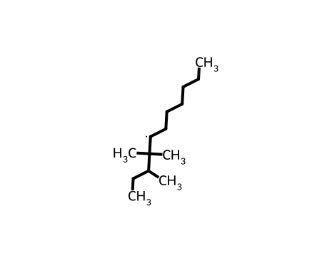 CCCCCC[CH]C(C)(C)C(C)CC